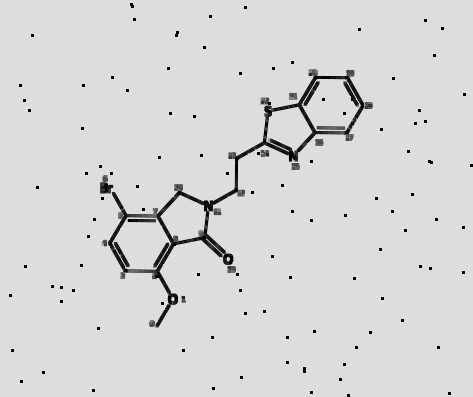 COc1ccc(Br)c2c1C(=O)N(CCc1nc3ccccc3s1)C2